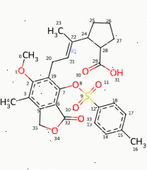 COc1c(C)c2c(c(OS(=O)(=O)c3ccc(C)cc3)c1C/C=C(\C)C1CCCC1C(=O)O)C(=O)OC2